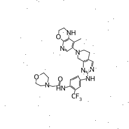 Cc1c(N2CCc3cnc(Nc4ccc(NC(=O)CN5CCOCC5)c(C(F)(F)F)c4)nc3C2)cnc2c1NCCO2